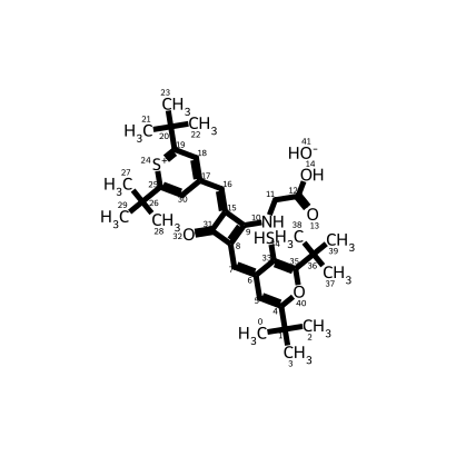 CC(C)(C)C1=CC(=CC2=C(NCC(=O)O)C(=Cc3cc(C(C)(C)C)[s+]c(C(C)(C)C)c3)C2=O)C(S)=C(C(C)(C)C)O1.[OH-]